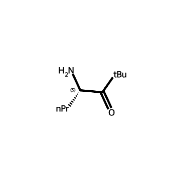 CCC[C@H](N)C(=O)C(C)(C)C